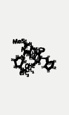 CSc1nc(NNC(=O)[C@@H](CC2CCCC2)CN(O)C=O)c(F)c(N2CCC[C@@H](N(C)C)C2)n1